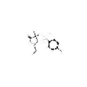 CCCCC(C)(OS(=O)(=O)c1ccc(C)cc1)C(=O)O